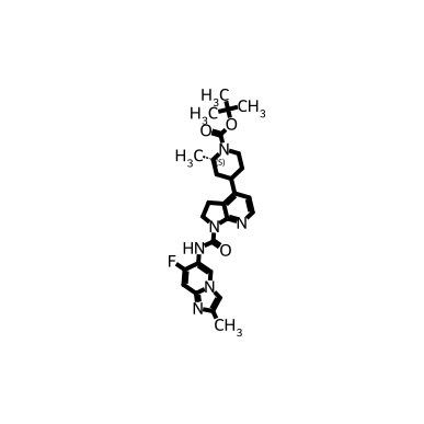 Cc1cn2cc(NC(=O)N3CCc4c(C5CCN(C(=O)OC(C)(C)C)[C@@H](C)C5)ccnc43)c(F)cc2n1